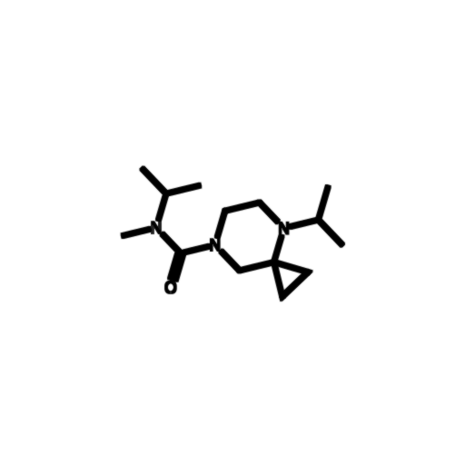 CC(C)N(C)C(=O)N1CCN(C(C)C)C2(CC2)C1